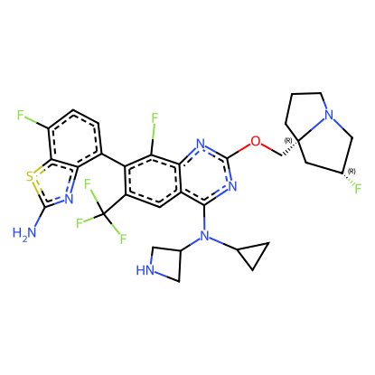 Nc1nc2c(-c3c(C(F)(F)F)cc4c(N(C5CC5)C5CNC5)nc(OC[C@]56CCCN5C[C@H](F)C6)nc4c3F)ccc(F)c2s1